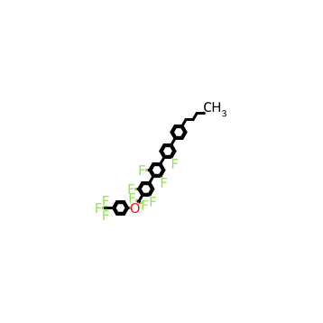 CCCCCc1ccc(-c2ccc(-c3cc(F)c(-c4cc(F)c(C(F)(F)Oc5ccc(C(F)(F)F)cc5)c(F)c4)c(F)c3)c(F)c2)cc1